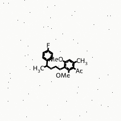 COc1cc(C)c(C(C)=O)c(OC)c1CCCC(C)c1ccc(F)cc1